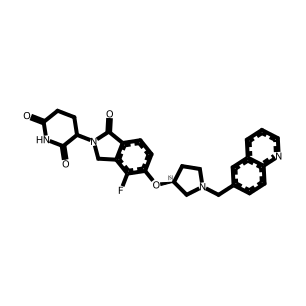 O=C1CCC(N2Cc3c(ccc(O[C@H]4CCN(Cc5ccc6ncccc6c5)C4)c3F)C2=O)C(=O)N1